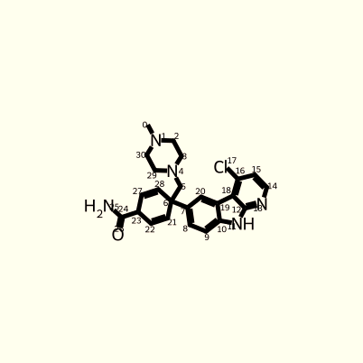 CN1CCN(CC2(c3ccc4[nH]c5nccc(Cl)c5c4c3)C=CC(C(N)=O)C=C2)CC1